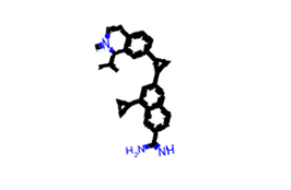 CC(C)C1c2cc(C3CC3c3cc(C4CC4)c4cc(C(=N)N)ccc4c3)ccc2CCN1C